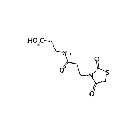 O=C(O)CCNC(=O)CCN1C(=O)CSC1=O